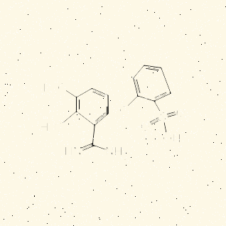 Cc1cccc(C(=N)N)c1C.Cc1ccccc1S(=O)(=O)O